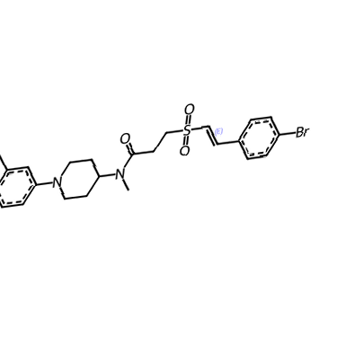 Cc1cc(N2CCC(N(C)C(=O)CCS(=O)(=O)/C=C/c3ccc(Br)cc3)CC2)ccn1